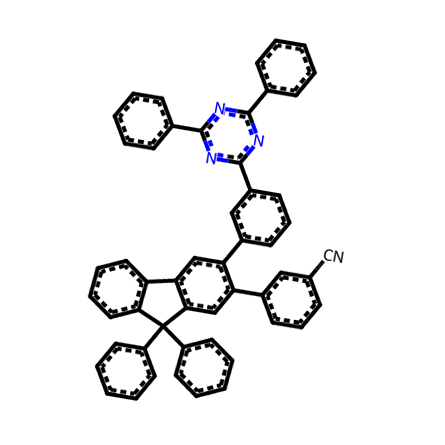 N#Cc1cccc(-c2cc3c(cc2-c2cccc(-c4nc(-c5ccccc5)nc(-c5ccccc5)n4)c2)-c2ccccc2C3(c2ccccc2)c2ccccc2)c1